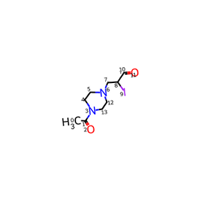 CC(=O)N1CCN(CC(I)[C]=O)CC1